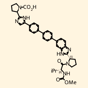 COC(=O)N[C@@H](C(=O)N1CCC[C@H]1c1nc2ccc(-c3ccc(-c4ccc(-c5cnc(C6CCCN6C(=O)O)[nH]5)cc4)cc3)cc2[nH]1)C(C)C